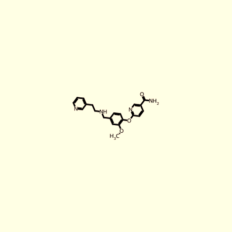 COc1cc(CNCCc2cccnc2)ccc1Oc1ccc(C(N)=O)cn1